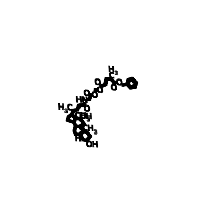 CC(CCC(=O)OCOC(=O)CNC(=O)CC[C@@H](C)C1CCC2C3CC[C@@H]4C[C@H](O)CC[C@]4(C)C3C[C@H](O)[C@@]21C)C(=O)OCc1ccccc1